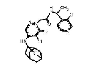 CC(NC(=O)Cn1ncc(NC23CC4CC(CC2C4)C3)c(Cl)c1=O)c1ccncc1Cl